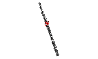 CCCCCCCCC=CCCCCCCCCCCCC(=O)OCCCCCCCCCCCCCCCCCCCCCCCCCCCCCCCCCC